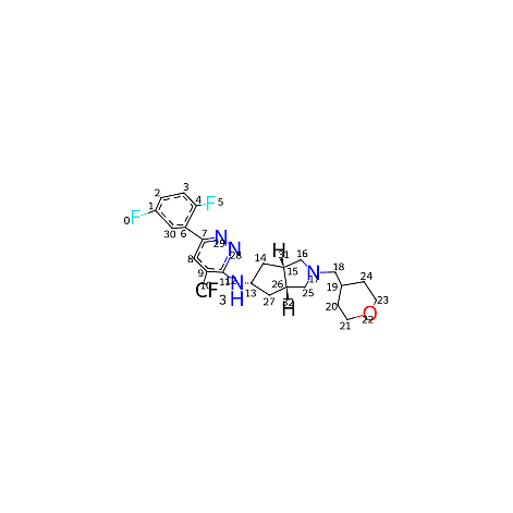 Fc1ccc(F)c(-c2cc(C(F)(F)F)c(N[C@@H]3C[C@@H]4CN(CC5CCOCC5)C[C@@H]4C3)nn2)c1